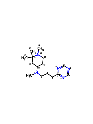 CN(CCCc1ncncn1)C1CCN(C)C(C)(C)C1